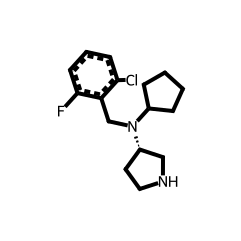 Fc1cccc(Cl)c1CN(C1CCCC1)[C@H]1CCNC1